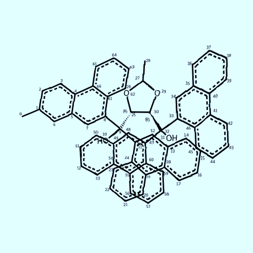 Cc1ccc2c(c1)cc(C(O)(c1cc3ccccc3c3ccccc13)[C@@H]1OC(C)O[C@H]1C(O)(c1cc3ccccc3c3ccccc13)c1cc3ccccc3c3ccccc13)c1ccccc12